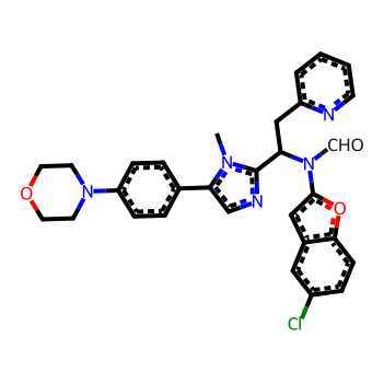 Cn1c(-c2ccc(N3CCOCC3)cc2)cnc1C(Cc1ccccn1)N(C=O)c1cc2cc(Cl)ccc2o1